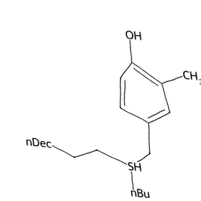 CCCCCCCCCCCC[SH](CCCC)Cc1ccc(O)c(C)c1